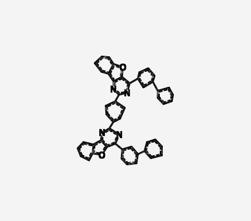 c1ccc(-c2cccc(-c3nc(-c4ccc(-c5nc(-c6cccc(-c7ccccc7)c6)c6oc7ccccc7c6n5)cc4)nc4c3oc3ccccc34)c2)cc1